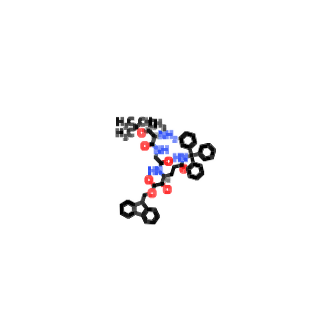 C[C@@H](OC(C)(C)C)[C@H](N)C(=O)NCC(=O)N[C@@H](CCC(=O)NC(c1ccccc1)(c1ccccc1)c1ccccc1)C(=O)C(=O)OCC1c2ccccc2-c2ccccc21